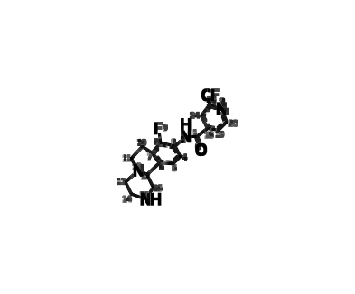 O=C(Nc1ccc2c(c1F)CCN1CCNCC21)c1ccnc(C(F)(F)F)c1